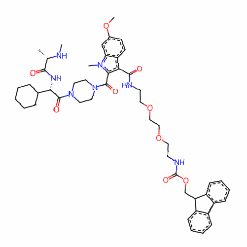 CN[C@@H](C)C(=O)N[C@H](C(=O)N1CCN(C(=O)c2c(C(=O)NCCOCCOCCNC(=O)OCC3c4ccccc4-c4ccccc43)c3ccc(OC)cc3n2C)CC1)C1CCCCC1